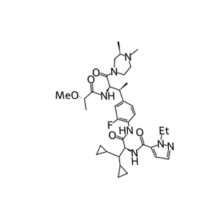 CCn1nccc1C(=O)N[C@H](C(=O)Nc1ccc([C@H](C)[C@@H](NC(=O)[C@H](C)OC)C(=O)N2CCN(C)[C@H](C)C2)cc1F)C(C1CC1)C1CC1